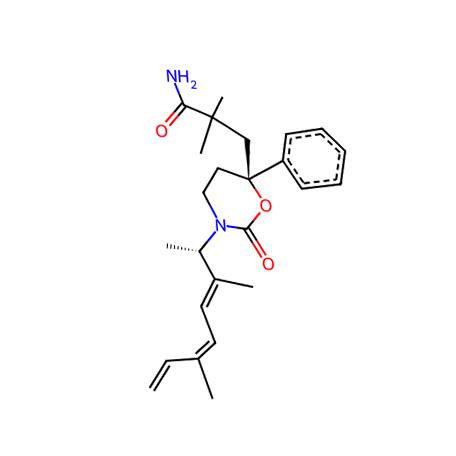 C=C/C(C)=C\C=C(/C)[C@H](C)N1CC[C@](CC(C)(C)C(N)=O)(c2ccccc2)OC1=O